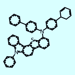 C1=CCC(c2ccc(N(c3ccc(-c4ccccc4)cc3)c3cccc4c3sc3c4ccc4c3c3ccccc3n4-c3ccccc3)cc2)C=C1